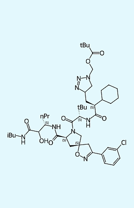 CCC[C@H](NC(=O)[C@@H]1C[C@]2(CC(c3cccc(Cl)c3)=NO2)CN1C(=O)[C@@H](NC(=O)[C@@H](CC1CN(COC(=O)C(C)(C)C)N=N1)C1CCCCC1)C(C)(C)C)C(O)C(=O)NC(C)CC